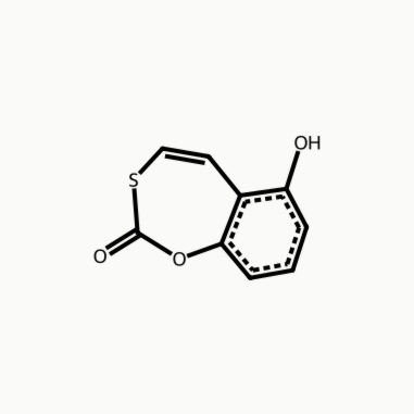 O=C1Oc2cccc(O)c2C=CS1